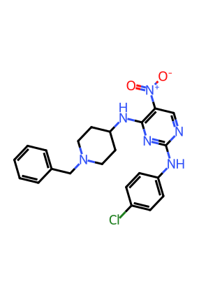 O=[N+]([O-])c1cnc(Nc2ccc(Cl)cc2)nc1NC1CCN(Cc2ccccc2)CC1